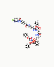 C[C@H](CCCOP(=O)(N[C@@H](CC(=O)OCc1ccccc1)C(=O)OCc1ccccc1)OCc1ccccc1)NC(=O)CC[C@H](NC(=O)CCCCCNC(=O)CCCCCNC(=O)c1ccc(F)nc1)C(=O)OCc1ccccc1